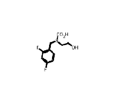 O=C(O)N(CCO)Cc1ccc(F)cc1F